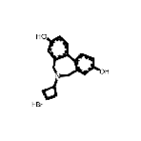 Br.Oc1ccc2c(c1)CN(C1CCC1)Cc1cc(O)ccc1-2